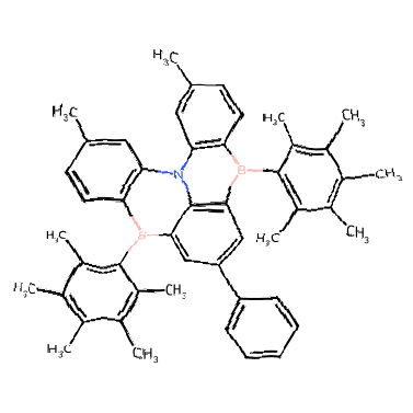 Cc1ccc2c(c1)N1c3cc(C)ccc3B(c3c(C)c(C)c(C)c(C)c3C)c3cc(-c4ccccc4)cc(c31)B2c1c(C)c(C)c(C)c(C)c1C